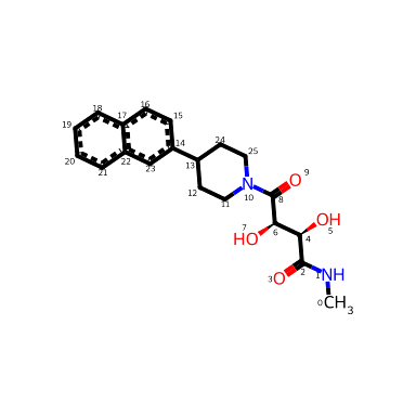 CNC(=O)[C@H](O)[C@@H](O)C(=O)N1CCC(c2ccc3ccccc3c2)CC1